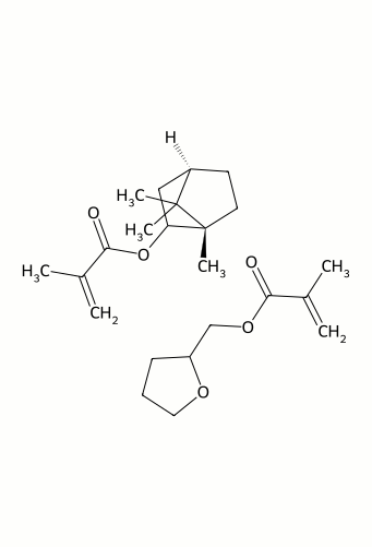 C=C(C)C(=O)OC1C[C@H]2CC[C@@]1(C)C2(C)C.C=C(C)C(=O)OCC1CCCO1